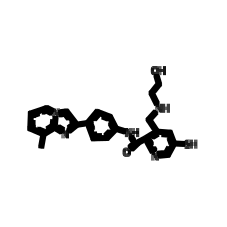 Cc1cccn2cc(-c3ccc(NC(=O)c4ncc(S)cc4CNCCO)cc3)nc12